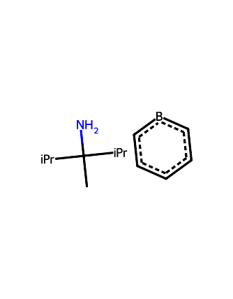 CC(C)C(C)(N)C(C)C.b1ccccc1